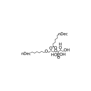 CCCCCCCCCCCCCCCCOC[C@H](COC(C(O)CO)P(=O)(O)O)OC(=O)CCCCCCCCCCCCCCC